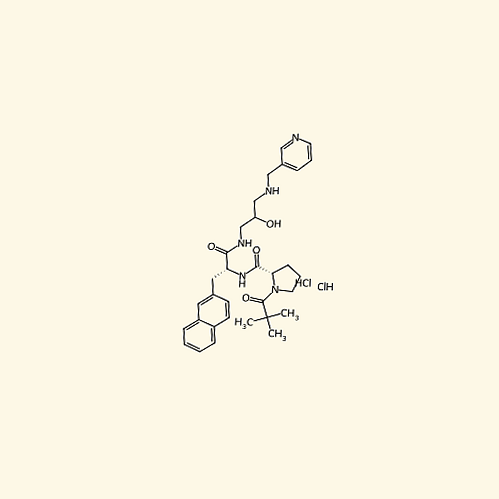 CC(C)(C)C(=O)N1CCC[C@H]1C(=O)N[C@H](Cc1ccc2ccccc2c1)C(=O)NCC(O)CNCc1cccnc1.Cl.Cl